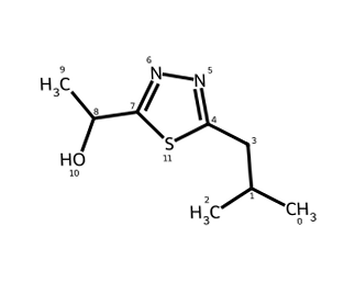 CC(C)Cc1nnc(C(C)O)s1